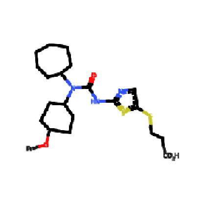 CC(C)OC1CCC(N(C(=O)Nc2ncc(SCCC(=O)O)s2)C2CCCCCC2)CC1